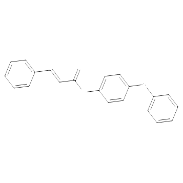 O=C(/C=C/c1ccccc1)Oc1ccc(Nc2ccccc2)cc1